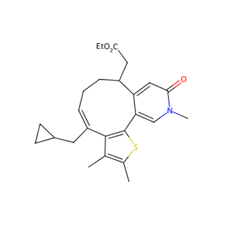 CCOC(=O)CC1CC/C=C(/CC2CC2)c2c(sc(C)c2C)-c2cn(C)c(=O)cc21